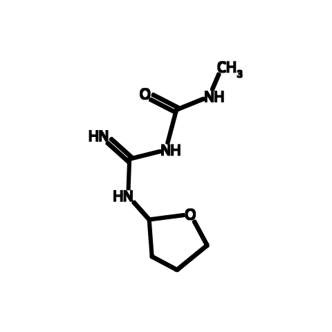 CNC(=O)NC(=N)NC1CCCO1